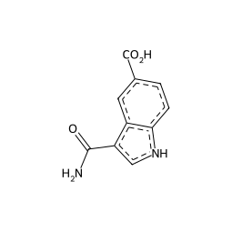 NC(=O)c1c[nH]c2ccc(C(=O)O)cc12